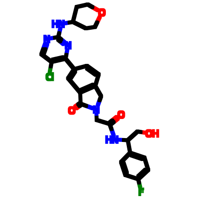 O=C(CN1Cc2ccc(-c3nc(NC4CCOCC4)ncc3Cl)cc2C1=O)NC(CO)c1ccc(F)cc1